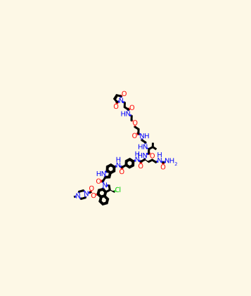 CC(C)[C@H](NCCNC(=O)CCOCCNC(=O)CCN1C(=O)C=CC1=O)C(=O)N[C@@H](CCCNC(N)=O)C(=O)Nc1ccc(C(=O)Nc2ccc3[nH]c(C(=O)N4C[C@@H](CCl)c5c4cc(OC(=O)N4CCN(C)CC4)c4ccccc54)cc3c2)cc1